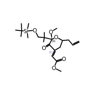 C=CCC1C/C(=C\C(=O)OC)C(=O)[C@](OC)(C(C)(C)CO[Si](C)(C)C(C)(C)C)O1